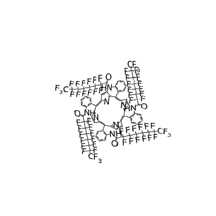 O=C(Nc1ccccc1C1=C2C=CC(=N2)C(c2ccccc2NC(=O)C(F)(F)C(F)(F)C(F)(F)C(F)(F)C(F)(F)C(F)(F)C(F)(F)F)=C2C=CC(=N2)C(c2ccccc2NC(=O)C(F)(F)C(F)(F)C(F)(F)C(F)(F)C(F)(F)C(F)(F)C(F)(F)F)=C2C=CC(=N2)C(c2ccccc2NC(=O)C(F)(F)C(F)(F)C(F)(F)C(F)(F)C(F)(F)C(F)(F)C(F)(F)F)=C2C=CC1=N2)C(F)(F)C(F)(F)C(F)(F)C(F)(F)C(F)(F)C(F)(F)C(F)(F)F